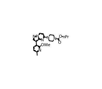 CCCOC(=O)N1CCN(c2ccn3ncc(-c4ccc(C)nc4OC)c3n2)CC1